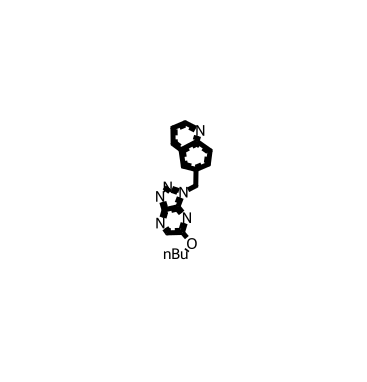 CCCCOc1cnc2nnn(Cc3ccc4ncccc4c3)c2n1